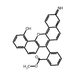 COC(=O)c1ccccc1-c1c2ccc3cc(=N)ccc3c2oc2c1ccc1cccc(O)c12